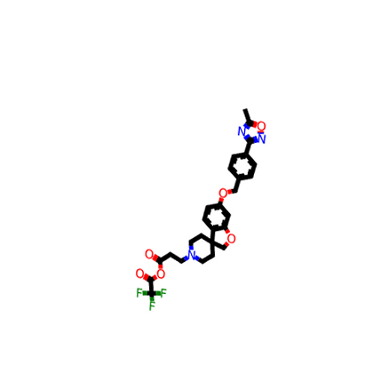 Cc1nc(-c2ccc(COc3ccc4c(c3)OCC43CCN(CCC(=O)OC(=O)C(F)(F)F)CC3)cc2)no1